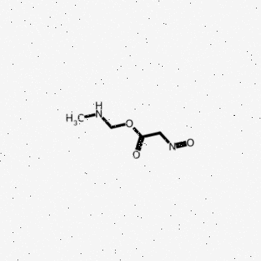 CNCOC(=O)CN=O